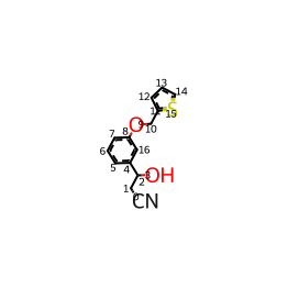 N#CCC(O)c1cccc(OCc2cccs2)c1